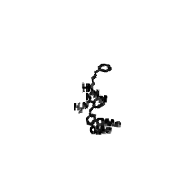 COc1ccc(Cc2ccnc3nc(NCCCCc4ccccc4)nc(N)c23)cc1OC